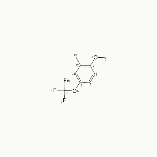 COc1ccc(OC(F)(F)F)cc1C